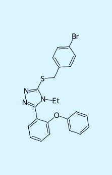 CCn1c(SCc2ccc(Br)cc2)nnc1-c1ccccc1Oc1ccccc1